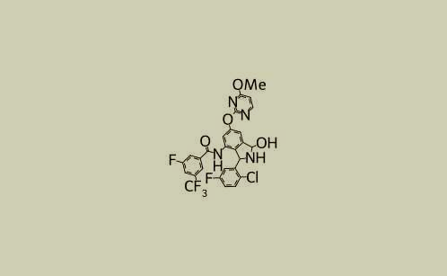 COc1ccnc(Oc2cc(NC(=O)c3cc(F)cc(C(F)(F)F)c3)c3c(c2)C(O)NC3c2cc(F)ccc2Cl)n1